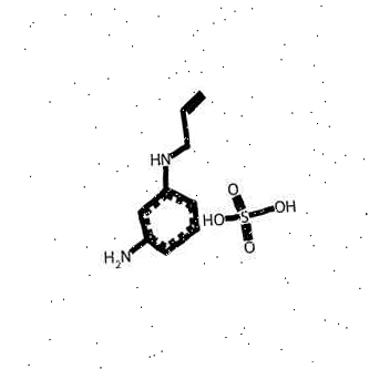 C=CCNc1cccc(N)c1.O=S(=O)(O)O